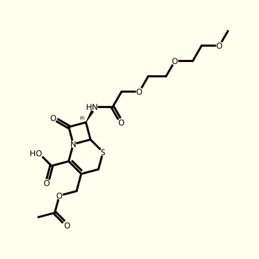 COCCOCCOCC(=O)N[C@@H]1C(=O)N2C(C(=O)O)=C(COC(C)=O)CSC12